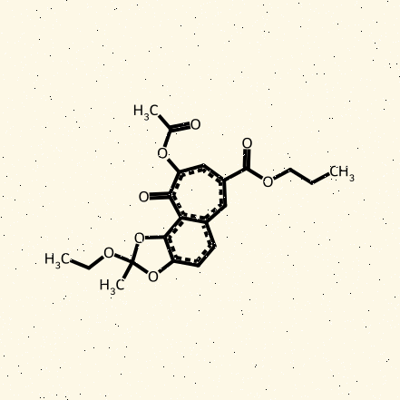 CCCOC(=O)c1cc(OC(C)=O)c(=O)c2c3c(ccc2c1)OC(C)(OCC)O3